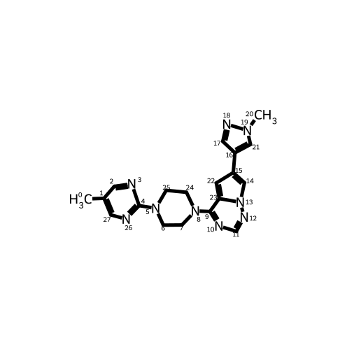 Cc1cnc(N2CCN(c3ncnn4cc(-c5cnn(C)c5)cc34)CC2)nc1